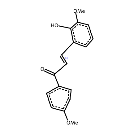 COc1ccc(C(=O)/C=C/c2cccc(OC)c2O)cc1